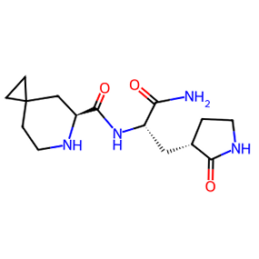 NC(=O)[C@H](C[C@@H]1CCNC1=O)NC(=O)[C@@H]1CC2(CCN1)CC2